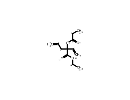 C=CCC(C=C)(OC(=O)CC)C(=O)OCC